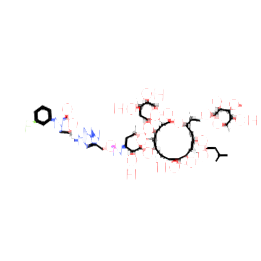 CO[C@@H]1[C@H](O)[C@@H](C)O[C@@H](OC[C@H](C)[C@H]2OC(=O)[C@H](C)[C@@H](O[C@H]3C[C@@](C)(O)[C@@H](O)[C@H](C)O3)[C@H](C)[C@@H](O[C@@H]3O[C@H](C)CC(=NOCc4cn(C[C@@H]5CN(c6cccc(F)c6)C(=O)O5)nn4)[C@H]3O)[C@@H](C)C[C@](C)(O)C(=O)[C@H](C)[C@H](OC(=O)CC(C)C)[C@H]2C)[C@@H]1OC